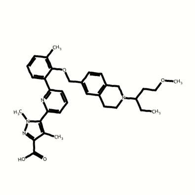 CCC(CCOC)N1CCc2cc(COc3c(C)cccc3-c3cccc(-c4c(C)c(C(=O)O)nn4C)n3)ccc2C1